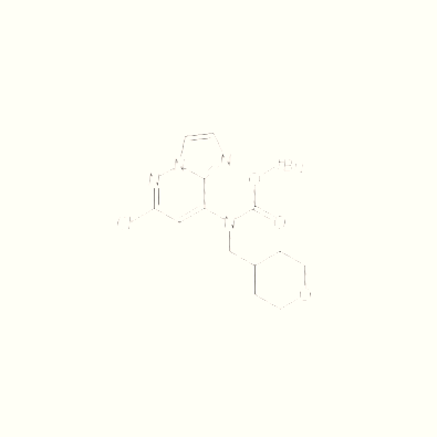 CC(C)(C)OC(=O)N(CC1CCOCC1)c1cc(Cl)nn2ccnc12